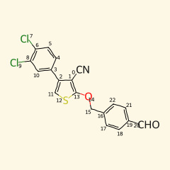 N#Cc1c(-c2ccc(Cl)c(Cl)c2)csc1OCc1ccc(C=O)cc1